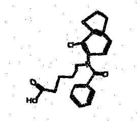 O=C(O)CCCCN(C(=O)c1ccccc1)c1ccc2c(c1Cl)CCC2